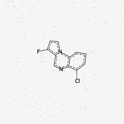 Fc1ccn2c1cnc1c(Cl)cccc12